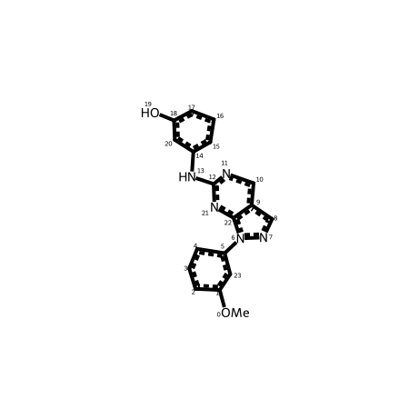 COc1cccc(-n2ncc3cnc(Nc4cccc(O)c4)nc32)c1